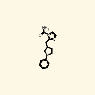 NC(=O)n1ccnc1CC1CCN(c2ccccc2)C1